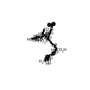 C[C@@H](CCC(=O)O)C(=O)N[C@@H](CCC(=O)NC[C@H](O)[C@@H](O)[C@H](O)[C@H](O)CO)C(=O)N[C@@H](CNC(=O)CCSCC1c2ccccc2-c2ccccc21)C(=O)N[C@@H](CSSCCOC(=O)CC[C@H](NC(=O)c1ccc(NCc2cnc3nc(N)[nH]c(=N)c3n2)cc1)C(=O)O)C(=O)O